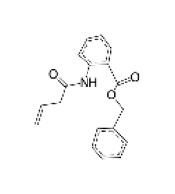 C=CCC(=O)Nc1ccccc1C(=O)OCc1ccccc1